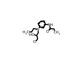 CCCN(CC(O)CCl)c1cccc(NC(=O)CC)c1